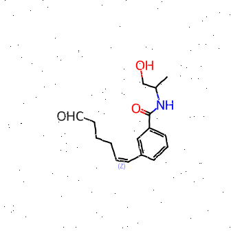 CC(CO)NC(=O)c1cccc(/C=C\CCCC=O)c1